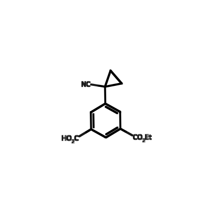 CCOC(=O)c1cc(C(=O)O)cc(C2(C#N)CC2)c1